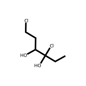 CCC(O)(Cl)C(O)CCCl